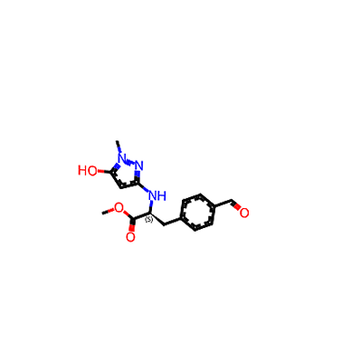 COC(=O)[C@H](Cc1ccc(C=O)cc1)Nc1cc(O)n(C)n1